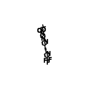 CC(C)(C)OC(=O)N1CCN(c2ccc(C#Cc3ccc(C(F)(F)F)cn3)cn2)CC1